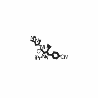 CC(C)n1nc(-c2ccc(C#N)cc2)c(C2CC2)c1C(=O)N[C@H]1CC2CN=CN2C1